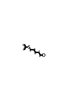 CC(C)SCCCCC[O]